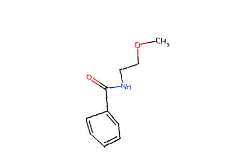 COCCNC(=O)c1cc[c]cc1